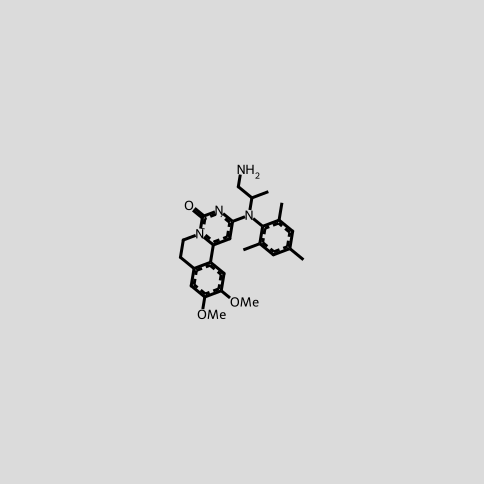 COc1cc2c(cc1OC)-c1cc(N(c3c(C)cc(C)cc3C)C(C)CN)nc(=O)n1CC2